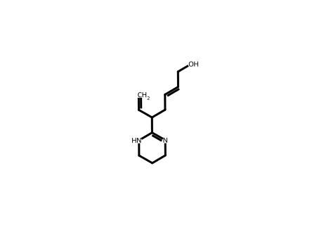 C=CC(C/C=C/CO)C1=NCCCN1